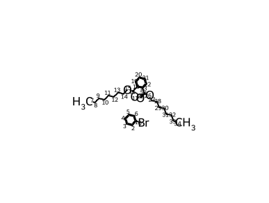 Brc1ccccc1.CCCCCCCCOC(=O)c1ccccc1C(=O)OCCCCCCCC